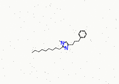 CCCCCCCCCc1nc(CCCc2ccccc2)cn1C